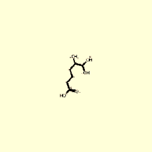 CC(CCCC(=O)O)C(O)O